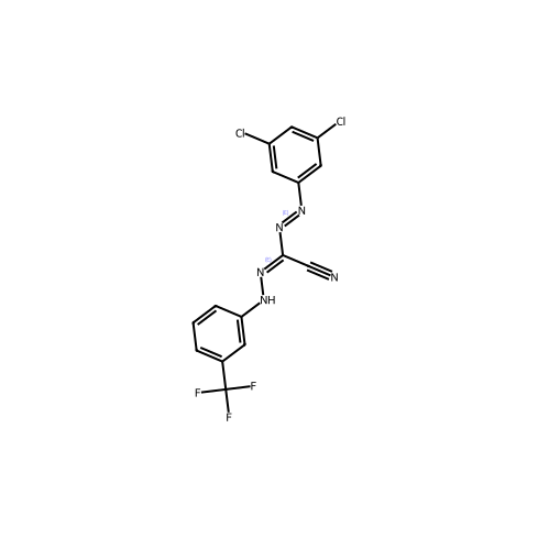 N#CC(/N=N/c1cc(Cl)cc(Cl)c1)=N\Nc1cccc(C(F)(F)F)c1